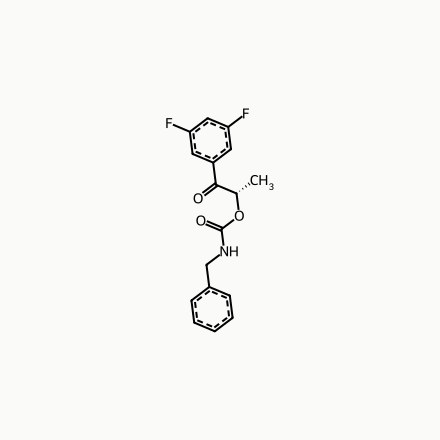 C[C@H](OC(=O)NCc1ccccc1)C(=O)c1cc(F)cc(F)c1